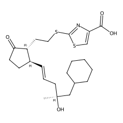 C[C@](O)(CC=C[C@H]1CCC(=O)[C@@H]1CCSc1nc(C(=O)O)cs1)CC1CCCCC1